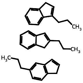 CCCC1=CCc2ccccc21.CCCC1=Cc2ccccc2C1.CCCc1ccc2c(c1)C=CC2